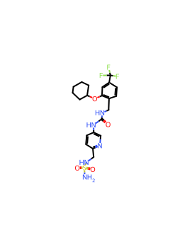 NS(=O)(=O)NCc1ccc(NC(=O)NCc2ccc(C(F)(F)F)cc2OC2CCCCC2)cn1